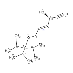 C#C[C@H](O)/C=C/CO[Si](C(C)C)(C(C)C)C(C)C